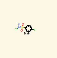 O=S(=O)(NCl)c1ccc(Cl)cc1.[NaH]